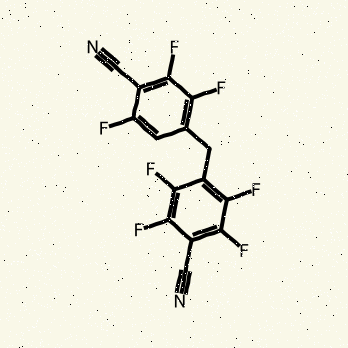 N#Cc1c(F)cc(Cc2c(F)c(F)c(C#N)c(F)c2F)c(F)c1F